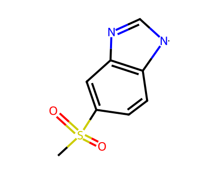 CS(=O)(=O)c1ccc2c(c1)N=C[N]2